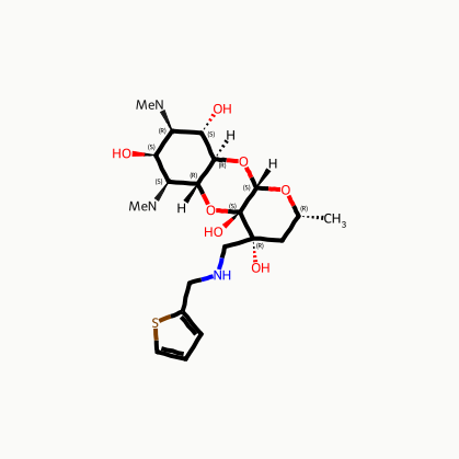 CN[C@@H]1[C@H](O)[C@H](NC)[C@H]2O[C@]3(O)[C@H](O[C@@H]2[C@H]1O)O[C@H](C)C[C@@]3(O)CNCc1cccs1